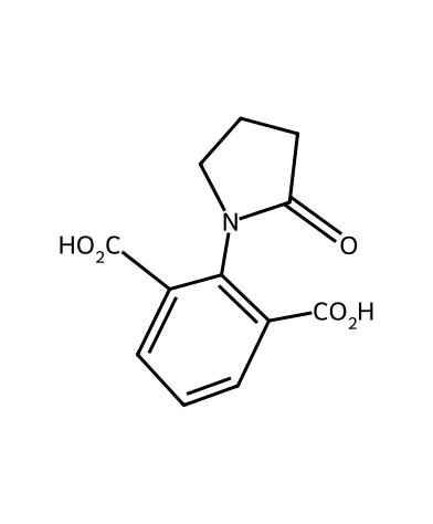 O=C(O)c1cccc(C(=O)O)c1N1CCCC1=O